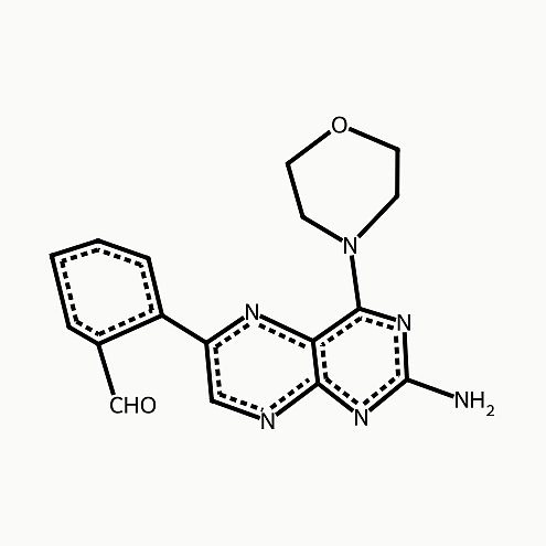 Nc1nc(N2CCOCC2)c2nc(-c3ccccc3C=O)cnc2n1